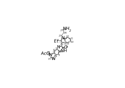 CCc1c(-c2nc3cc4c(cc3[nH]c2=O)ncn4OC(C)=O)c2ccccc2n1CCCN